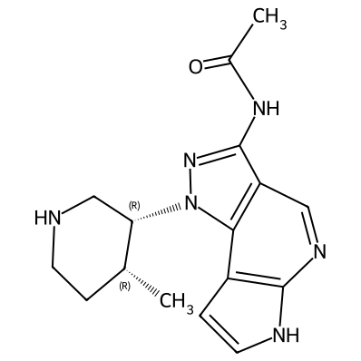 CC(=O)Nc1nn([C@H]2CNCC[C@H]2C)c2c1cnc1[nH]ccc12